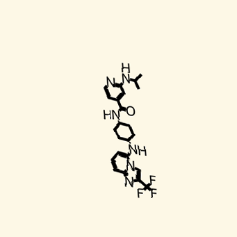 CC(C)Nc1cc(C(=O)N[C@H]2CC[C@@H](Nc3cccc4nc(C(F)(F)F)cn34)CC2)ccn1